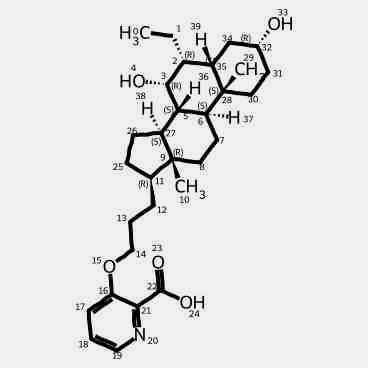 CC[C@H]1[C@@H](O)[C@@H]2[C@H](CC[C@]3(C)[C@@H](CCCOc4cccnc4C(=O)O)CC[C@@H]23)[C@@]2(C)CC[C@@H](O)C[C@@H]12